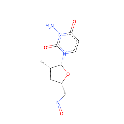 C[C@H]1C[C@@H](CN=O)O[C@H]1n1ccc(=O)n(N)c1=O